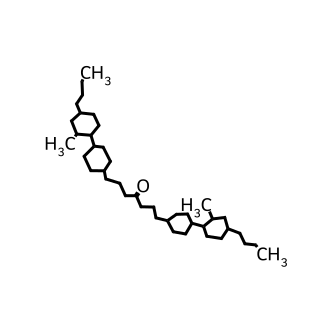 CCCCC1CCC(C2CCC(CCCC(=O)CCCC3CCC(C4CCC(CCCC)CC4C)CC3)CC2)C(C)C1